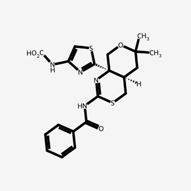 CC1(C)C[C@H]2CSC(NC(=O)c3ccccc3)=N[C@@]2(c2nc(NC(=O)O)cs2)CO1